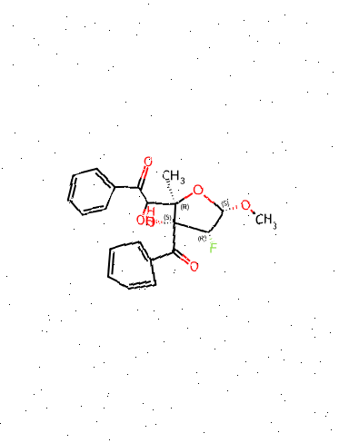 CO[C@H]1O[C@](C)(C(O)C(=O)c2ccccc2)[C@](O)(C(=O)c2ccccc2)[C@H]1F